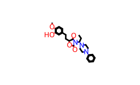 CCC(N1CCN(c2ccccc2)CC1)N1C(=O)OC(CCc2ccc(OC)c(O)c2)C1=O